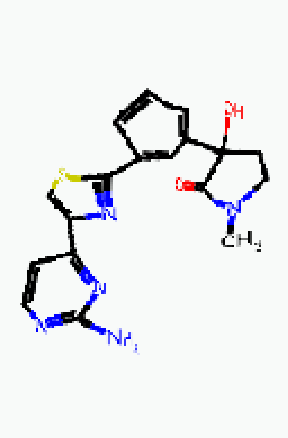 CN1CCC(O)(c2cccc(-c3nc(-c4ccnc(N)n4)cs3)c2)C1=O